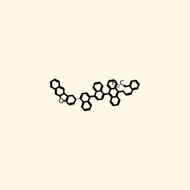 C=Cc1ccccc1/C=C\Cc1c2ccccc2c(-c2ccc(-c3ccc([C@@H]4C=CC5=C(C4)C4C=c6ccccc6=CC4O5)c4ccccc34)c3ccccc23)c2ccccc12